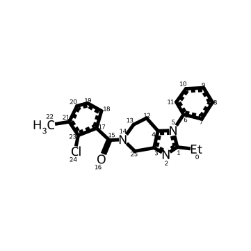 CCc1nc2c(n1-c1ccccc1)CCN(C(=O)c1cccc(C)c1Cl)C2